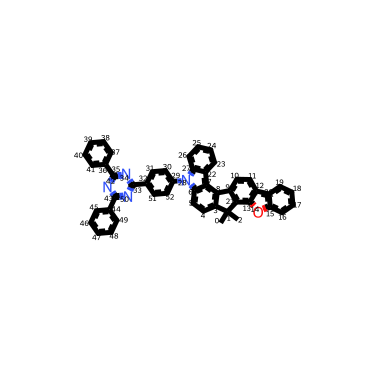 CC1(C)c2ccc3c(c2-c2ccc4c(oc5ccccc54)c21)c1ccccc1n3-c1ccc(-c2nc(-c3ccccc3)nc(-c3ccccc3)n2)cc1